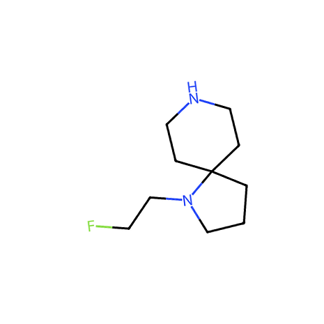 FCCN1CCCC12CCNCC2